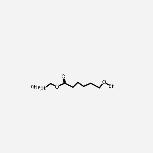 CCCCCCCCOC(=O)CCCCCOCC